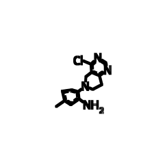 Cc1ccc(N2CCc3ncnc(Cl)c3C2)c(N)c1